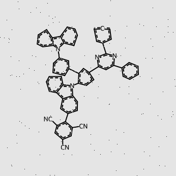 N#Cc1cc(C#N)c(-c2ccc3c(c2)c2ccccc2n3-c2ccc(-c3cc(-c4ccccc4)nc(-c4ccccc4)n3)cc2-c2cccc(-n3c4ccccc4c4ccccc43)c2)c(C#N)c1